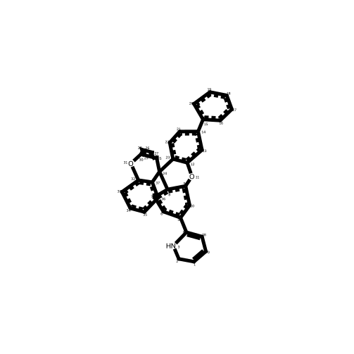 C1=CCNC(c2ccc3c(c2)Oc2cc(-c4ccccc4)ccc2C32c3ccccc3Oc3ccccc32)=C1